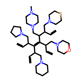 C=CC(CN1CCSCC1)[C](CN1CCN(C)CC1)C(=C(C(C=C)CN1CCCCC1)C(C=C)CN1CCCC1)C(C=C)CN1CCOCC1